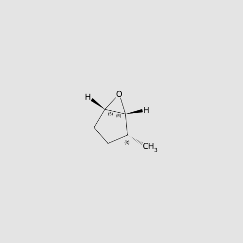 C[C@@H]1CC[C@@H]2O[C@H]12